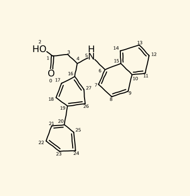 O=C(O)CC(Nc1cccc2ccccc12)c1ccc(-c2ccccc2)cc1